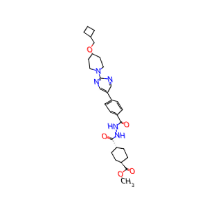 COC(=O)[C@H]1CC[C@H](C(=O)NNC(=O)c2ccc(-c3cnc(N4CCC(OCC5CCC5)CC4)nc3)cc2)CC1